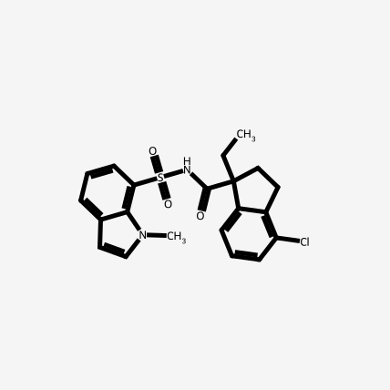 CCC1(C(=O)NS(=O)(=O)c2cccc3ccn(C)c23)CCc2c(Cl)cccc21